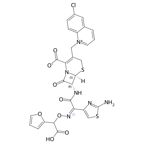 Nc1nc(/C(=N/OC(C(=O)O)c2ccco2)C(=O)N[C@@H]2C(=O)N3C(C(=O)[O-])=C(C[n+]4cccc5cc(Cl)ccc54)CS[C@@H]23)cs1